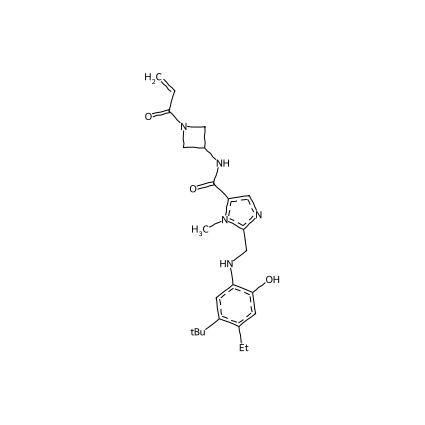 C=CC(=O)N1CC(NC(=O)c2cnc(CNc3cc(C(C)(C)C)c(CC)cc3O)n2C)C1